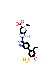 CCc1cc(O)c(P)cc1-c1ccc2c(-c3nc4c([nH]3)CN(CC)[C@H](C(=O)O)C4)n[nH]c2c1